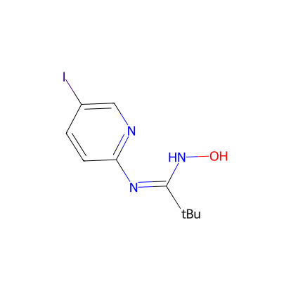 CC(C)(C)/C(=N/c1ccc(I)cn1)NO